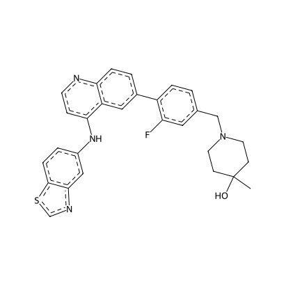 CC1(O)CCN(Cc2ccc(-c3ccc4nccc(Nc5ccc6scnc6c5)c4c3)c(F)c2)CC1